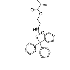 C=C(C)C(=O)OCCNC(=O)SC(c1ccccc1)(c1ccccc1)c1ccccc1